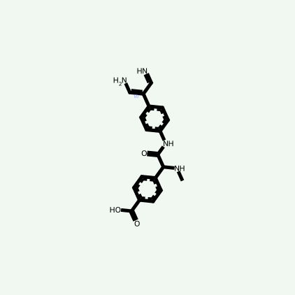 CNC(C(=O)Nc1ccc(/C(C=N)=C/N)cc1)c1ccc(C(=O)O)cc1